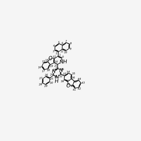 C1=C(c2cccc3ccccc23)c2oc3ccccc3c2C(C2=NC(c3ccccc3)NC(c3ccc4c(c3)oc3ccccc34)=N2)N1